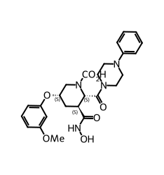 COc1cccc(O[C@H]2C[C@H](C(=O)NO)[C@@H](C(=O)N3CCN(c4ccccc4)CC3)N(C(=O)O)C2)c1